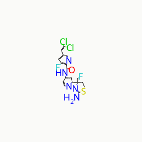 NC1=N[C@](CF)(c2cc(NC(=O)c3ncc(C=C(Cl)Cl)cc3F)ccn2)CCS1